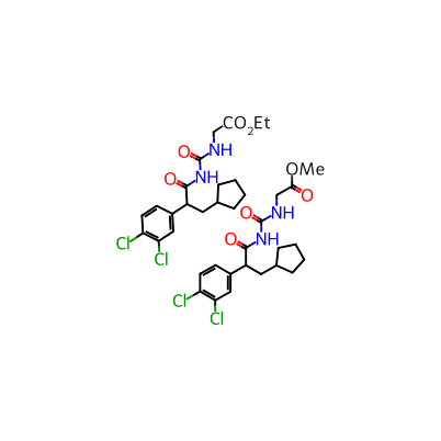 CCOC(=O)CNC(=O)NC(=O)C(CC1CCCC1)c1ccc(Cl)c(Cl)c1.COC(=O)CNC(=O)NC(=O)C(CC1CCCC1)c1ccc(Cl)c(Cl)c1